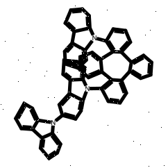 c1ccc2c(c1)-c1cccc(-n3c4ccccc4c4ccccc43)c1-c1ccccc1-c1c-2cccc1-n1c2ccccc2c2cc(-n3c4ccccc4c4ccccc43)ccc21